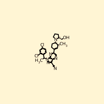 CC(c1ccc(Cl)cc1Cl)n1nc(C#N)c2ncc(C3=C[C@@H](C)[C@@H](N4CCC[C@H]4CO)CC3)nc21